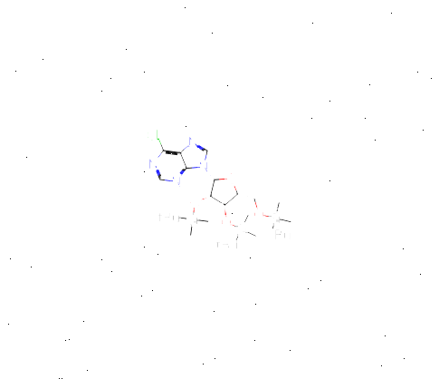 CC(C)(C)[Si](C)(C)OC[C@H]1O[C@@H](n2cnc3c(Cl)ncnc32)[C@H](O[Si](C)(C)C(C)(C)C)[C@@H]1O[Si](C)(C)C(C)(C)C